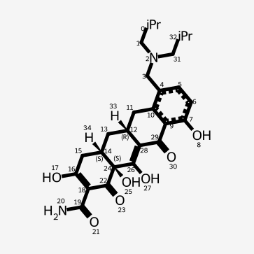 CC(C)CN(Cc1ccc(O)c2c1C[C@H]1C[C@H]3CC(O)=C(C(N)=O)C(=O)[C@@]3(O)C(O)=C1C2=O)CC(C)C